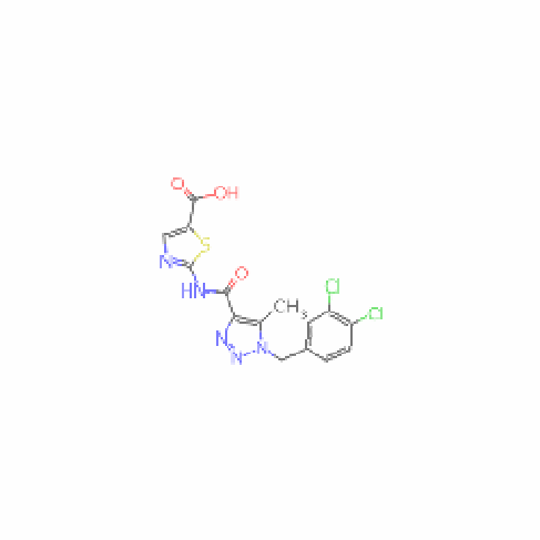 Cc1c(C(=O)Nc2ncc(C(=O)O)s2)nnn1Cc1ccc(Cl)c(Cl)c1